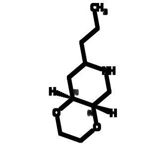 CCCC1C[C@@H]2OCCO[C@H]2CN1